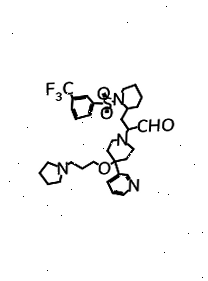 O=CC(CC1CCCCN1S(=O)(=O)c1cccc(C(F)(F)F)c1)N1CCC(OCCCN2CCCC2)(c2cccnc2)CC1